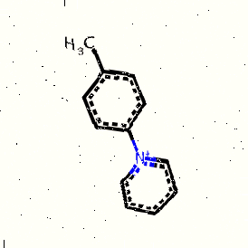 Cc1ccc(-[n+]2ccccc2)cc1